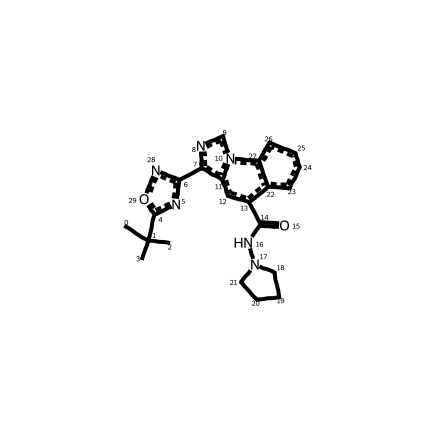 CC(C)(C)c1nc(-c2ncn3c2cc(C(=O)NN2CCCC2)c2ccccc23)no1